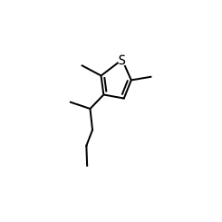 CCCC(C)c1cc(C)sc1C